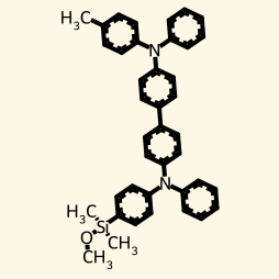 CO[Si](C)(C)c1ccc(N(c2ccccc2)c2ccc(-c3ccc(N(c4ccccc4)c4ccc(C)cc4)cc3)cc2)cc1